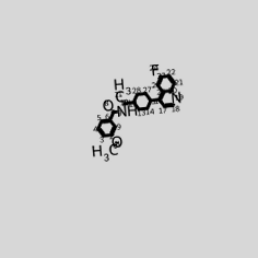 COc1cccc(C(=O)N[C@H](C)C2CCC(c3ccnc4ccc(F)cc34)CC2)c1